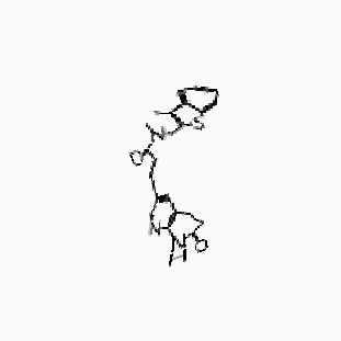 Cc1c(CN(C)C(=O)C=Cc2cnc3c(c2)CCC(=O)N3)sc2ccccc12